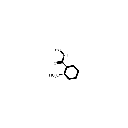 CC(C)(C)NC(=O)[C@H]1CCCC[C@H]1C(=O)O